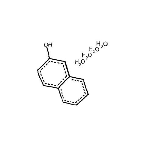 O.O.O.O.Oc1ccc2ccccc2c1